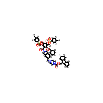 Cc1ccc(S(=O)(=O)Oc2cc(OS(=O)(=O)c3ccc(C)cc3)c(C(=O)N3Cc4ccc(CN5CCN(C(=O)OCC6c7ccccc7-c7ccccc76)CC5)cc4C3)c(OCC3CCCCC3)c2C)cc1